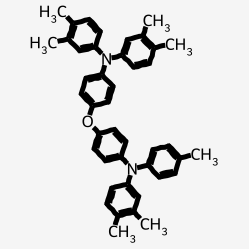 Cc1ccc(N(c2ccc(Oc3ccc(N(c4ccc(C)c(C)c4)c4ccc(C)c(C)c4)cc3)cc2)c2ccc(C)c(C)c2)cc1